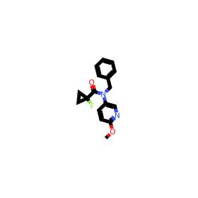 COc1ccc(N(Cc2ccccc2)C(=O)C2(F)CC2)cn1